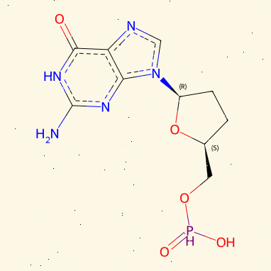 Nc1nc2c(ncn2[C@H]2CC[C@@H](CO[PH](=O)O)O2)c(=O)[nH]1